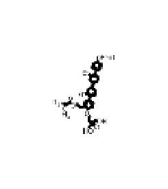 C=C(C)C(=O)OCCc1cc(-c2ccc(-c3ccc(-c4ccc(CCCCC)cc4)c(CC)c3)cc2CC)ccc1OCCC(CC)(CO)CO